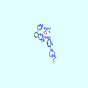 C=CC(=O)Nc1cc(-c2cccc3cnc(Nc4ccc(N5CCN(CCF)CC5)nc4)nc23)ccn1